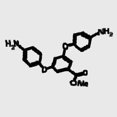 COC(=O)c1cc(Oc2ccc(N)cc2)cc(Oc2ccc(N)cc2)c1